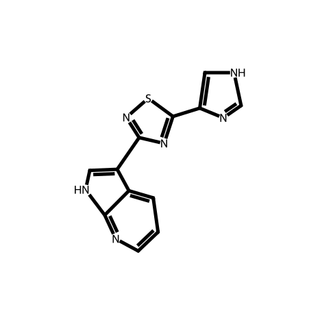 c1cnc2[nH]cc(-c3nsc(-c4c[nH]cn4)n3)c2c1